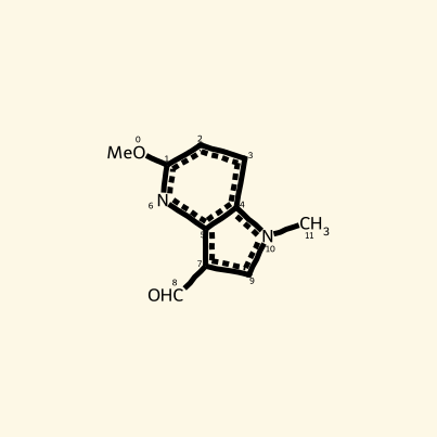 COc1ccc2c(n1)c(C=O)cn2C